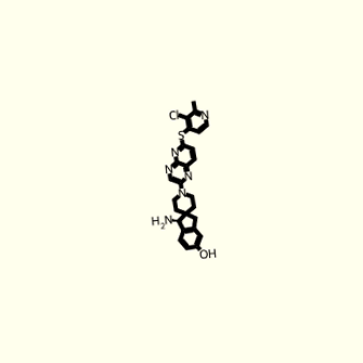 Cc1nccc(Sc2ccc3nc(N4CCC5(CC4)Cc4cc(O)ccc4[C@H]5N)cnc3n2)c1Cl